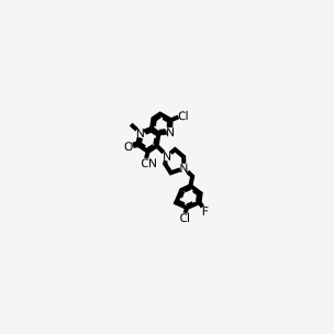 Cn1c(=O)c(C#N)c(N2CCN(Cc3ccc(Cl)c(F)c3)CC2)c2nc(Cl)ccc21